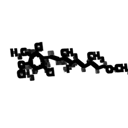 COC/C=C(C)/C=C/C(F)=C(C)/C=C/c1c(Cl)cc(OC)c(C)c1Cl